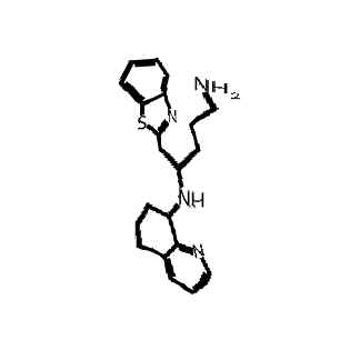 NCCCC(Cc1nc2ccccc2s1)NC1CCCc2cccnc21